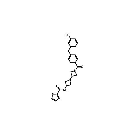 O=C(NC1CN(C2CN(C(=O)c3ccc(Cc4cccc(C(F)(F)F)c4)cc3)C2)C1)c1nccs1